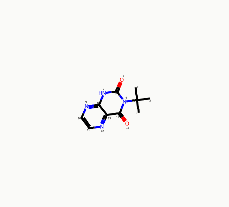 CC(C)(C)n1c(=O)[nH]c2nccnc2c1=O